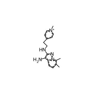 Cc1ccc2c(N)c(NCCc3cc[n+](C)cc3)nn2c1C